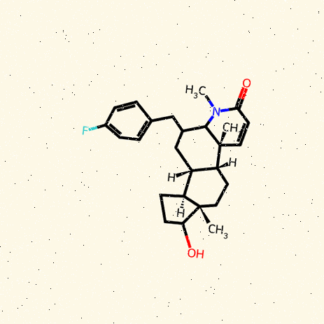 CN1C(=O)C=C[C@@]2(C)C1C(Cc1ccc(F)cc1)C[C@@H]1[C@H]2CC[C@]2(C)C(O)CC[C@@H]12